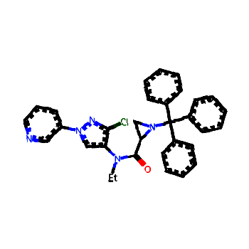 CCN(C(=O)C1CN1C(c1ccccc1)(c1ccccc1)c1ccccc1)c1cn(-c2cccnc2)nc1Cl